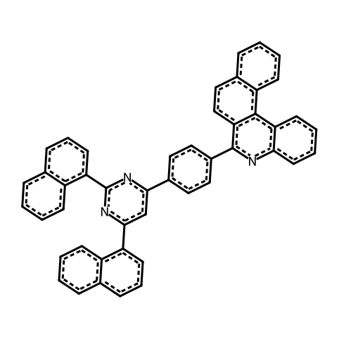 c1ccc2c(-c3cc(-c4ccc(-c5nc6ccccc6c6c5ccc5ccccc56)cc4)nc(-c4cccc5ccccc45)n3)cccc2c1